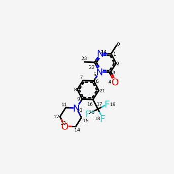 Cc1cc(=O)n(-c2ccc(N3CCOCC3)c(C(F)(F)F)c2)c(C)n1